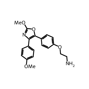 COc1ccc(-c2nc(OC)oc2-c2ccc(OCCN)cc2)cc1